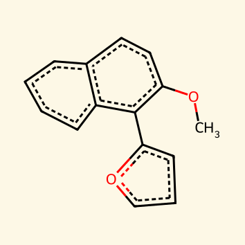 COc1ccc2ccccc2c1-c1ccco1